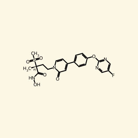 C[C@@](CCn1ccc(-c2ccc(Oc3ncc(F)cn3)cc2)cc1=O)(C(=O)NO)S(C)(=O)=O